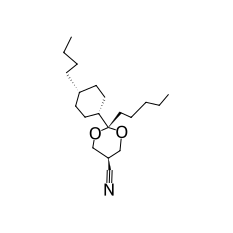 CCCCC[C@]1([C@H]2CC[C@@H](CCCC)CC2)OC[C@H](C#N)CO1